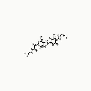 CCC/C(F)=C(\F)c1cc(F)c(CCc2cc(F)c(CCC)c(F)c2)c(F)c1